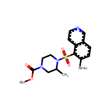 CC(=O)Nc1ccc2cnccc2c1S(=O)(=O)N1CCN(C(=O)OC(C)(C)C)CC1C